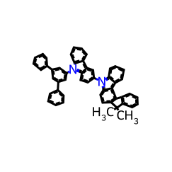 CC1(C)c2ccccc2-c2c1ccc1c2c2ccccc2n1-c1ccc2c(c1)c1ccccc1n2-c1cc(-c2ccccc2)cc(-c2ccccc2)c1